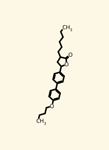 CCCCCCC1CC(c2ccc(-c3ccc(OCCCC)cc3)cc2)OC1=O